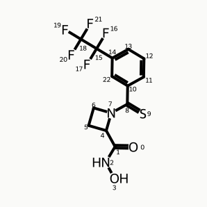 O=C(NO)C1CCN1C(=S)c1cccc(C(F)(F)C(F)(F)F)c1